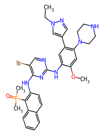 CCn1cc(-c2cc(Nc3ncc(Br)c(Nc4ccc5ccccc5c4P(C)(C)=O)n3)c(OC)cc2N2CCNCC2)cn1